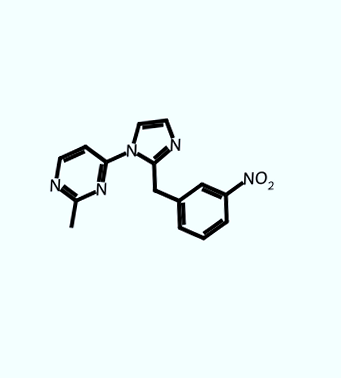 Cc1nccc(-n2ccnc2Cc2cccc([N+](=O)[O-])c2)n1